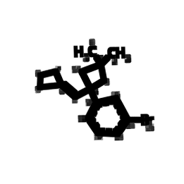 CC1(C)CC(C=C2CCC2)(c2cccc(Br)c2)C1